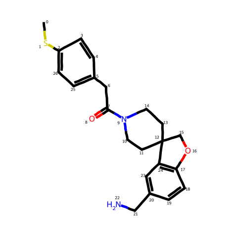 CSc1ccc(CC(=O)N2CCC3(CC2)COc2ccc(CN)cc23)cc1